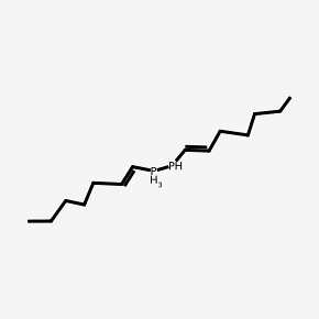 CCCCC/C=C/P[PH3]/C=C/CCCCC